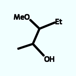 CCC(OC)C(C)O